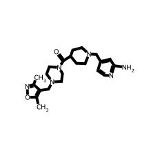 Cc1noc(C)c1CN1CCN(C(=O)C2CCN(Cc3ccnc(N)c3)CC2)CC1